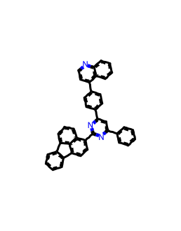 c1ccc(-c2cc(-c3ccc(-c4ccnc5ccccc45)cc3)nc(-c3ccc4c5c(cccc35)-c3ccccc3-4)n2)cc1